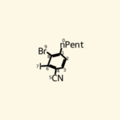 CCCCCc1ccc(C#N)c(I)c1Br